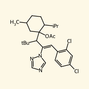 CC(=O)OC1(C(/C(=C/c2ccc(Cl)cc2Cl)n2cncn2)C(C)(C)C)CC(C)CCC1C(C)C